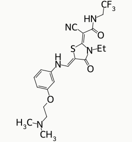 CCn1c(=C(C#N)C(=O)NCC(F)(F)F)sc(=CNc2cccc(OCCN(C)C)c2)c1=O